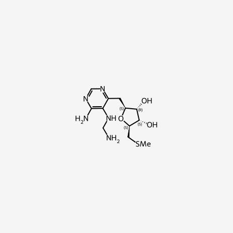 CSC[C@H]1O[C@@H](Cc2ncnc(N)c2NCN)[C@H](O)[C@@H]1O